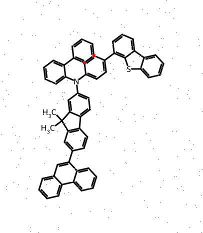 CC1(C)c2cc(-c3cc4ccccc4c4ccccc34)ccc2-c2ccc(N(c3ccc(-c4cccc5c4sc4ccccc45)cc3)c3ccccc3-c3ccccc3)cc21